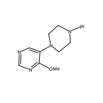 COc1ncncc1N1CCN(C(C)C)CC1